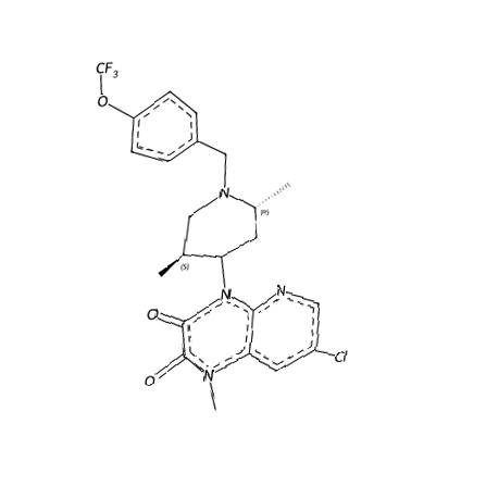 C[C@@H]1CC(n2c(=O)c(=O)n(C)c3cc(Cl)cnc32)[C@@H](C)CN1Cc1ccc(OC(F)(F)F)cc1